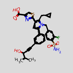 CC(C)C(O)C#Cc1cccc(-c2cc(-c3nc(C(=O)O)cs3)c(CC3CC3)n2Cc2ccc(S(N)(=O)=O)c(F)c2)c1